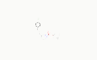 CC(C)(C)OC(=O)N1CCCC(CCCc2ccc(F)cc2)C1